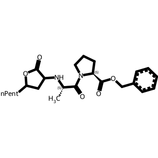 CCCCCC1CC(N[C@@H](C)C(=O)N2CCC[C@H]2C(=O)OCc2ccccc2)C(=O)O1